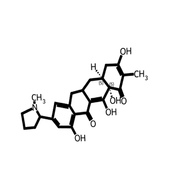 CC1=C(O)C[C@@H]2CC3Cc4cc(C5CCCN5C)cc(O)c4C(=O)C3=C(O)[C@]2(O)C1=O